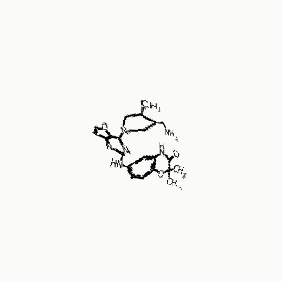 C[C@@H]1CN(c2nc(Nc3ccc4c(c3)NC(=O)C(C)(C)O4)nc3ccoc23)C[C@@H]1CN